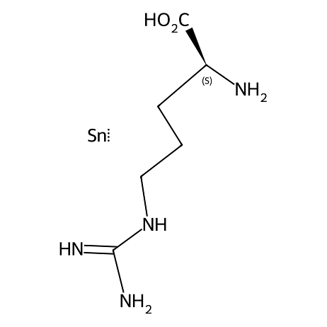 N=C(N)NCCC[C@H](N)C(=O)O.[Sn]